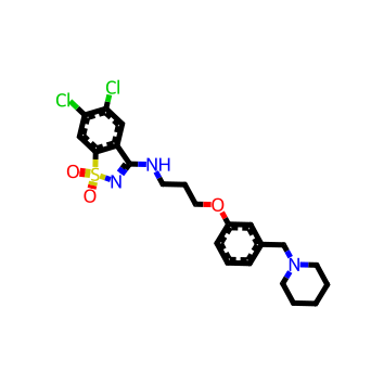 O=S1(=O)N=C(NCCCOc2cccc(CN3CCCCC3)c2)c2cc(Cl)c(Cl)cc21